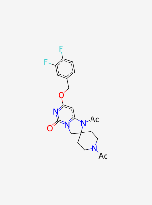 CC(=O)N1CCC2(CC1)Cn1c(cc(OCc3ccc(F)c(F)c3)nc1=O)N2C(C)=O